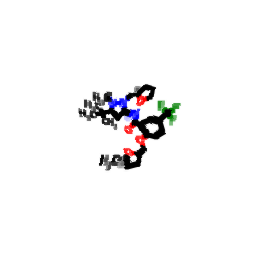 C[C@H]1CCC(COc2ccc(C(F)(F)F)cc2C(=O)/N=c2\cc(C(C)(C)C)n(C)n2C[C@H]2CCCO2)O1